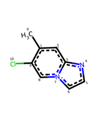 Cc1[c]c2nccn2cc1Cl